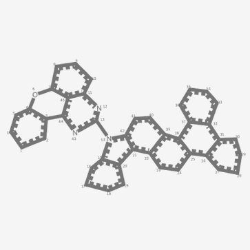 c1ccc2c(c1)Oc1cccc3nc(-n4c5ccccc5c5c6ccc7c8ccccc8c8ccccc8c7c6ccc54)nc-2c13